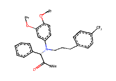 CNC(=O)[C@H](c1ccccc1)N(CCCc1ccc(C(F)(F)F)cc1)c1ccc(OC(C)C)c(OC(C)C)c1